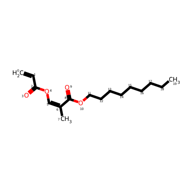 C=CC(=O)OC=C(C)C(=O)OCCCCCCCCC